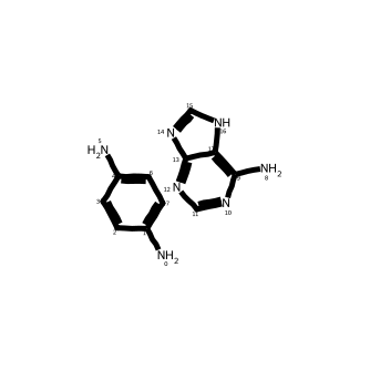 Nc1ccc(N)cc1.Nc1ncnc2nc[nH]c12